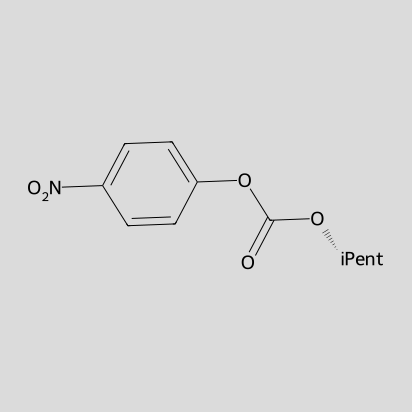 CCC[C@@H](C)OC(=O)Oc1ccc([N+](=O)[O-])cc1